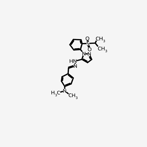 CC(C)S(=O)(=O)c1ccccc1-n1nccc1N/N=C/c1ccc(N(C)C)cc1